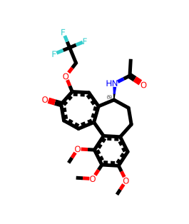 COc1cc2c(c(OC)c1OC)-c1ccc(=O)c(OCC(F)(F)F)cc1[C@@H](NC(C)=O)CC2